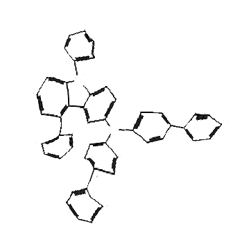 c1ccc(-c2ccc(N(c3ccc(-c4ccccc4)cc3)c3ccc4c(c3)c3c(-c5ccccc5)cccc3n4-c3ccccc3)cc2)cc1